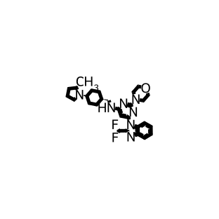 C[C@@H]1CCCN1[C@H]1CC[C@@H](CNc2cc(-n3c(C(F)F)nc4ccccc43)nc(N3CCOCC3)n2)CC1